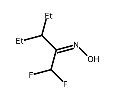 CCC(CC)C(=NO)C(F)F